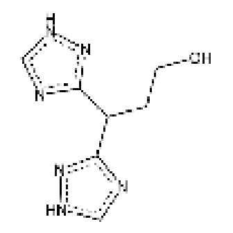 OCCC(c1nc[nH]n1)c1nc[nH]n1